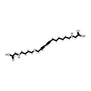 O=C(O)CNCCCCCCC#CC#CCOCCCCNCC(=O)O